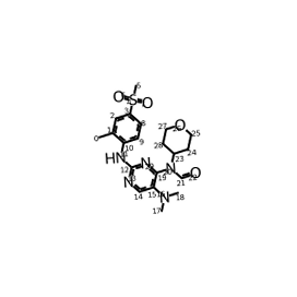 Cc1cc(S(C)(=O)=O)ccc1Nc1ncc(N(C)C)c(N(C=O)C2CCOCC2)n1